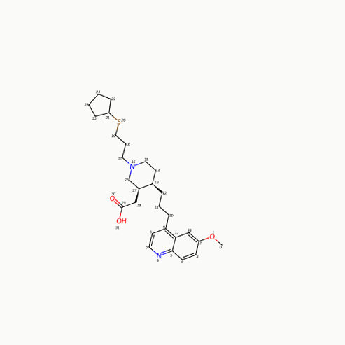 COc1ccc2nccc(CCC[C@@H]3CCN(CCCSC4CCCC4)C[C@@H]3CC(=O)O)c2c1